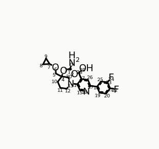 NC(=O)OC1(COC2CC2)CCCN(c2cnc(-c3ccc(F)c(F)c3)cc2CO)C1